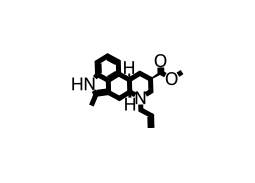 C=CCN1C[C@H](C(=O)OC)C[C@@H]2c3cccc4[nH]c(C)c(c34)C[C@H]21